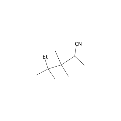 CCC(C)(C)C(C)(C)C(C)C#N